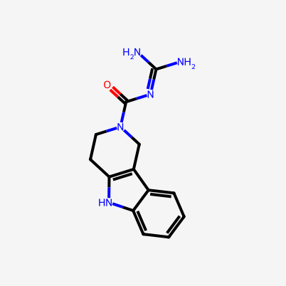 NC(N)=NC(=O)N1CCc2[nH]c3ccccc3c2C1